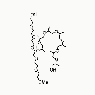 CC(O)COC(C)COC(C)COC(C)COC(C)COC(C)COC(C)CO.COCCOCCOCCOCCOCCOCCO